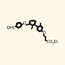 CCOC(=O)CCCOc1ccc(-c2cccc(COc3ccc(C=O)cc3)c2C)c(C)c1